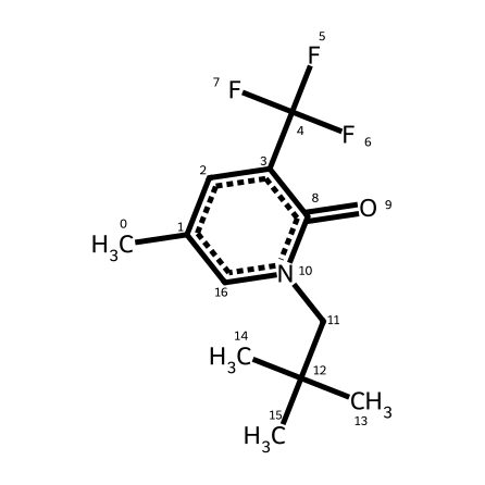 Cc1cc(C(F)(F)F)c(=O)n(CC(C)(C)C)c1